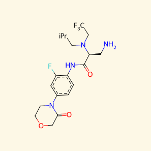 CC(C)CN(CC(F)(F)F)[C@@H](CN)C(=O)Nc1ccc(N2CCOCC2=O)cc1F